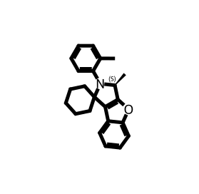 Cc1ccccc1N1[C@@H](C)c2oc3ccccc3c2C12CCCCC2